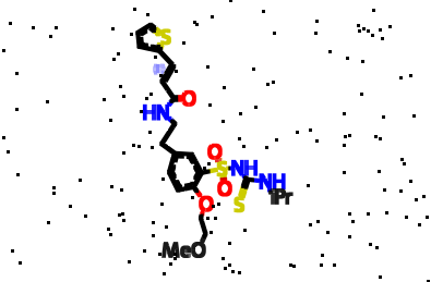 COCCOc1ccc(CCNC(=O)/C=C/c2cccs2)cc1S(=O)(=O)NC(=S)NC(C)C